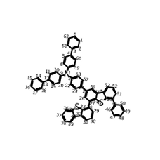 c1ccc(-c2ccc(N(c3ccc(-c4ccccc4)cc3)c3ccc(-c4cc(-c5cccc6c5sc5ccccc56)c5sc6c(-c7ccccc7)cccc6c5c4)cc3)cc2)cc1